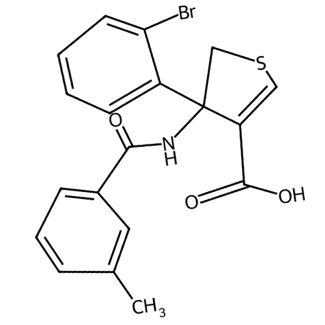 Cc1cccc(C(=O)NC2(c3ccccc3Br)CSC=C2C(=O)O)c1